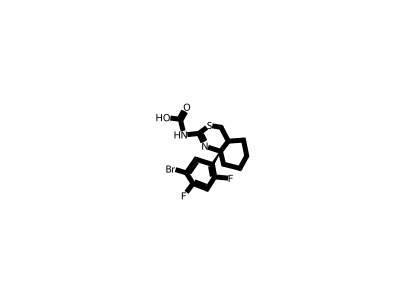 O=C(O)NC1=N[C@@]2(c3cc(Br)c(F)cc3F)CCCCC2CS1